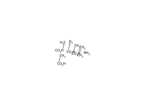 C=C.CC(=O)O.CC(=O)O.CC(=O)O.CC(=O)O.N